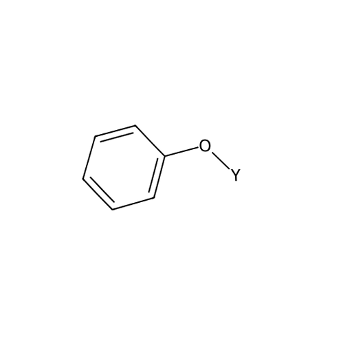 [Y][O]c1ccccc1